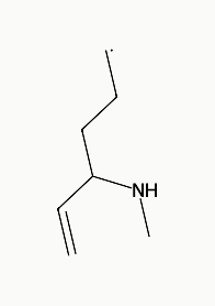 [CH2]CCC(C=C)NC